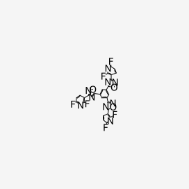 Fc1ccc(-c2noc(-c3cc(-c4noc(-c5ccc(F)nc5F)n4)cc(-c4nc(-c5ccc(F)nc5F)no4)c3)n2)c(F)n1